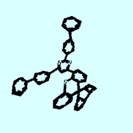 c1ccc(-c2ccc(-c3cc(-c4cccc5c4Sc4ccccc4C54c5ccccc5-c5ccccc54)nc(-c4ccc(-c5ccccc5)cc4)n3)cc2)cc1